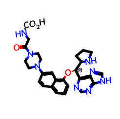 O=C(O)NCC(=O)N1CCN(c2ccc3cccc(O[C@@H](c4ncnc5[nH]cnc45)C4CCCN4)c3c2)CC1